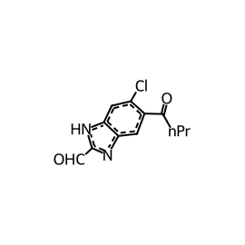 CCCC(=O)c1cc2nc(C=O)[nH]c2cc1Cl